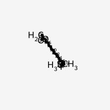 C=CC(=O)OCCCCCCCCCCCC[Si](C)(C)F